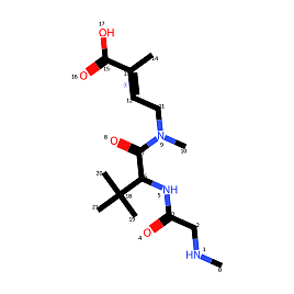 CNCC(=O)NC(C(=O)N(C)C/C=C(\C)C(=O)O)C(C)(C)C